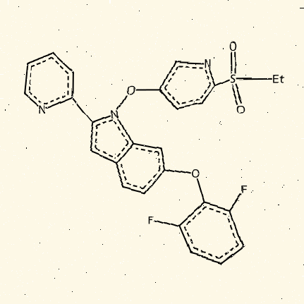 CCS(=O)(=O)c1ccc(On2c(-c3ccccn3)cc3ccc(Oc4c(F)cccc4F)cc32)cn1